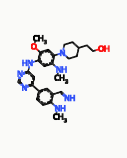 CNc1ccc(-c2cc(Nc3cc(NC)c(N4CCC(CCO)CC4)cc3OC)ncn2)cc1C=N